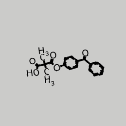 CC(C)(C(=O)O)C(=O)Oc1ccc(C(=O)c2ccccc2)cc1